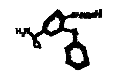 NC(=O)c1ccc(S)c(Sc2ccccc2)c1.[NaH]